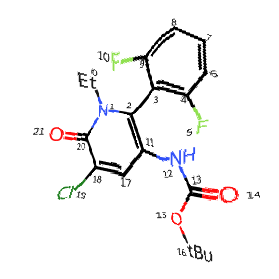 CCn1c(-c2c(F)cccc2F)c(NC(=O)OC(C)(C)C)cc(Cl)c1=O